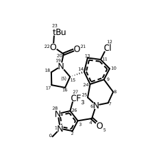 Cn1cc(C(=O)N2CCc3cc(Cl)cc([C@@H]4CCCN4C(=O)OC(C)(C)C)c3C2)c(C(F)(F)F)n1